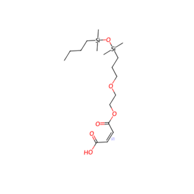 CCCC[Si](C)(C)O[Si](C)(C)CCCOCCOC(=O)/C=C\C(=O)O